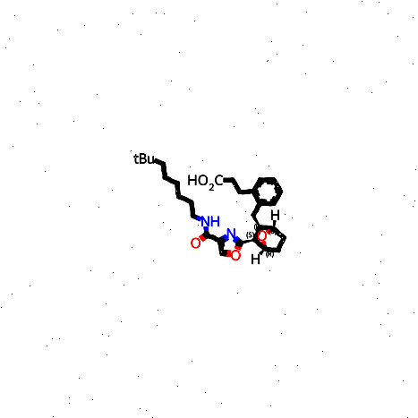 CC(C)(C)CCCCCCNC(=O)c1coc([C@H]2[C@@H](Cc3ccccc3CCC(=O)O)[C@@H]3CC[C@H]2O3)n1